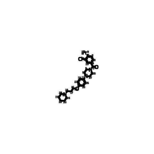 CC(C)c1ccc(C(=O)N2CCN(c3ccc(OCCCN4CCCCC4)cc3)CC2)cc1Cl